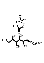 O=C([O-])O.O=CC(O)C(O)C(O)C(O)CO.O=P([O-])([O-])[O-].[Ca+2].[Ca+2]